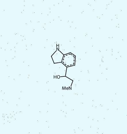 CNCC(O)c1cccc2c1CCN2